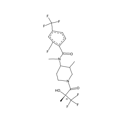 CC1CN(C(=O)[C@@](C)(O)C(F)(F)F)CCC1N(C)C(=O)c1ccc(C(F)(F)F)cc1F